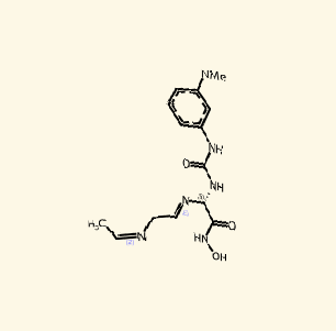 C/C=N\C/C=N/[C@H](NC(=O)Nc1cccc(NC)c1)C(=O)NO